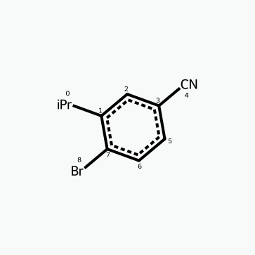 [CH2]C(C)c1cc(C#N)ccc1Br